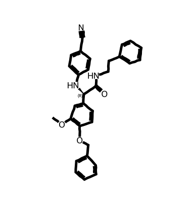 COc1cc([C@@H](Nc2ccc(C#N)cc2)C(=O)NCCc2ccccc2)ccc1OCc1ccccc1